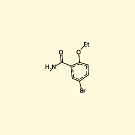 CCOc1ccc(Br)cc1C(N)=O